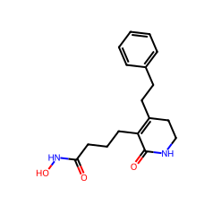 O=C(CCCC1=C(CCc2ccccc2)CCNC1=O)NO